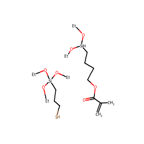 C=C(C)C(=O)OCCCC[SiH](OCC)OCC.CCO[Si](CCCS)(OCC)OCC